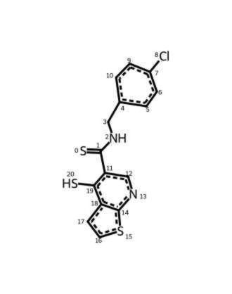 S=C(NCc1ccc(Cl)cc1)c1cnc2sccc2c1S